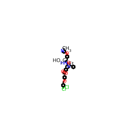 CC[C@@H](c1ccccc1)N1Cc2cc3c(cc2C[C@H]1C(=O)N[C@@H](Cc1ccc(Oc2ccnc(C)c2)cc1)C(=O)O)OC[C@H](c1ccc(OCc2ccc(Cl)c(Cl)c2)cc1)O3